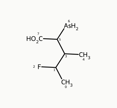 CC(F)C(C)C([AsH2])C(=O)O